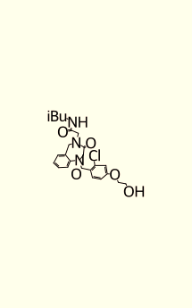 CCC(C)NC(=O)CN1Cc2ccccc2N(C(=O)c2ccc(OCCO)cc2Cl)CC1=O